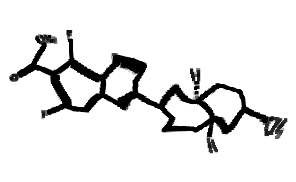 COC(=O)c1c(F)cc2cc(C3CC[C@H]4CC(C)CC[C@@H]4C3)ccc2c1F